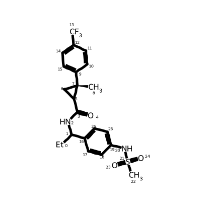 CCC(NC(=O)C1C[C@]1(C)c1ccc(C(F)(F)F)cc1)c1ccc(NS(C)(=O)=O)cc1